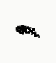 C[SH](=O)(c1cccc2cnccc12)N1CCCN(C(=O)CCN)CC1